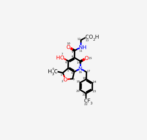 CC1OCc2c1c(O)c(C(=O)NCC(=O)O)c(=O)n2Cc1ccc(C(F)(F)F)cc1